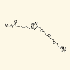 CNC(=O)CCCCCn1cc(COCCOCCOCCNC(C)C)nn1